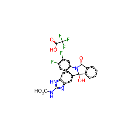 O=C(O)C(F)(F)F.O=C(O)Nc1nc2cc(C3(O)c4ccccc4C(=O)N3c3ccc(F)c(F)c3)ccc2[nH]1